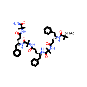 CC(=O)NC(C)(C)C(=O)N[C@H](CCC(=O)NC(C)(C)C(=O)N[C@H](CCC(=O)NC(C)(C)C(=O)N[C@H](CCC(=O)NC(C)(C)C(N)=O)Cc1ccccc1)Cc1ccccc1)Cc1ccccc1